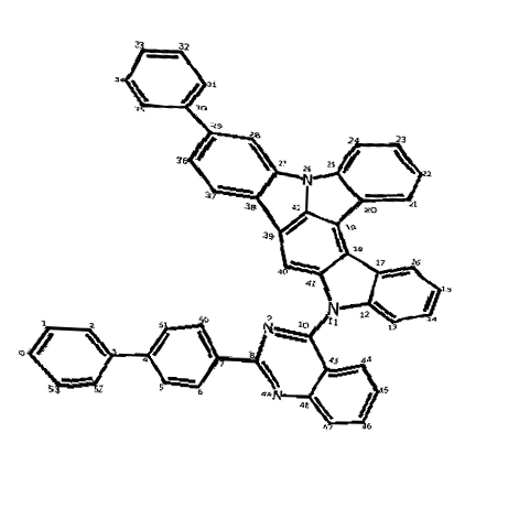 c1ccc(-c2ccc(-c3nc(-n4c5ccccc5c5c6c7ccccc7n7c8cc(-c9ccccc9)ccc8c(cc54)c67)c4ccccc4n3)cc2)cc1